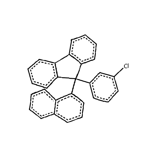 Clc1cccc(C2(c3cccc4ccccc34)c3ccccc3-c3ccccc32)c1